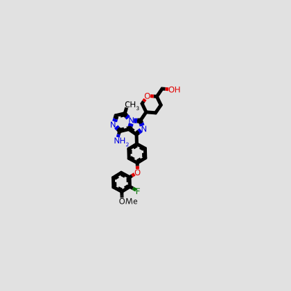 COc1cccc(Oc2ccc(-c3nc(C4CCC(CO)OC4)n4c(C)cnc(N)c34)cc2)c1F